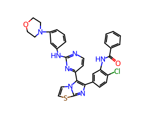 O=C(Nc1cc(-c2nc3sccn3c2-c2ccnc(Nc3cccc(N4CCOCC4)c3)n2)ccc1Cl)c1ccccc1